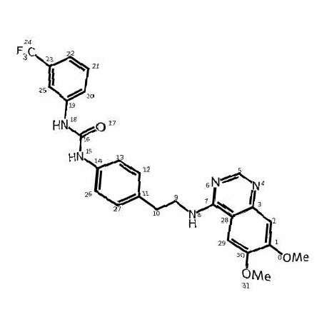 COc1cc2ncnc(NCCc3ccc(NC(=O)Nc4cccc(C(F)(F)F)c4)cc3)c2cc1OC